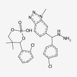 CC1(C)COP(=O)(O)OC1c1ccccc1Cl.Cn1nnc2ccc(C(NN)c3ccc(Cl)cc3)cc21